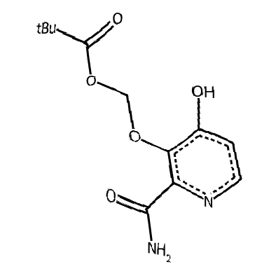 CC(C)(C)C(=O)OCOc1c(O)ccnc1C(N)=O